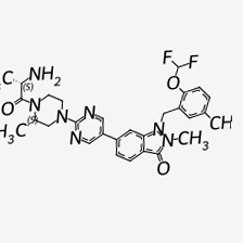 Cc1ccc(OC(F)F)c(Cn2c3cc(-c4cnc(N5CCN(C(=O)[C@H](C)N)[C@@H](C)C5)nc4)ccc3c(=O)n2C)c1